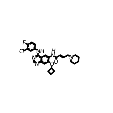 O=C(C=CCN1CCCCC1)Nc1cc2c(Nc3ccc(F)c(Cl)c3)ncnc2cc1OC1CCC1